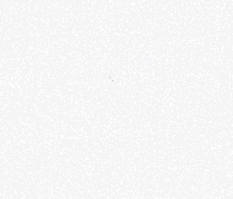 C/C=C\C(=O)N(C=O)OC(=O)CCC